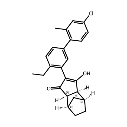 CCc1ccc(-c2ccc(Cl)cc2C)cc1C1=C(O)[C@H]2[C@H]3CC[C@H](C3)[C@H]2C1=O